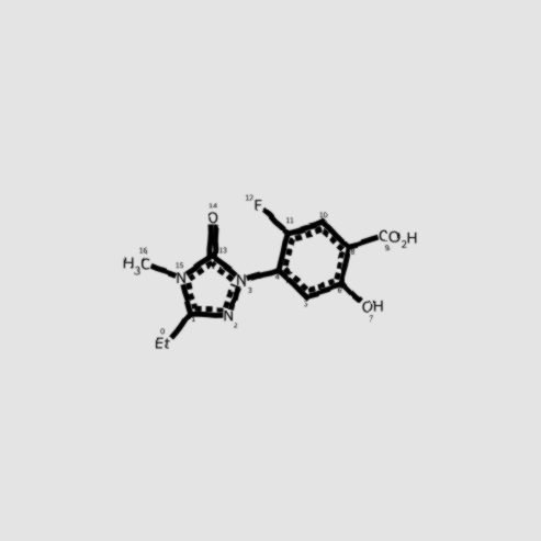 CCc1nn(-c2cc(O)c(C(=O)O)cc2F)c(=O)n1C